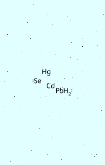 [Cd].[Hg].[PbH2].[Se]